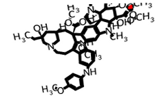 CC[C@]1(O)C[C@H]2CN(CCc3c([nH]c4ccc(Nc5ccc(OC)cc5)cc34)[C@@](C(=O)OC)(c3cc4c(cc3OC)N(C)[C@H]3[C@@](O)(C(=O)OC)[C@H](OC(C)=O)[C@]5(CC)C=CCN6CC[C@]43[C@@H]65)C2)C1